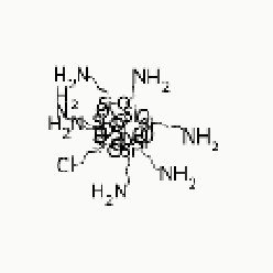 NCCC[Si]12O[Si]3(CCCN)O[Si]4(CCCN)O[Si](CCCN)(O1)O[Si]1(CCCN)O[Si](CCCN)(O2)O[Si](CCCN)(O3)O[Si](CCCCl)(O4)O1